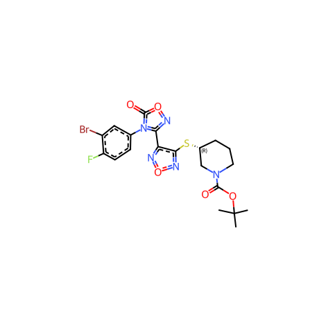 CC(C)(C)OC(=O)N1CCC[C@@H](Sc2nonc2-c2noc(=O)n2-c2ccc(F)c(Br)c2)C1